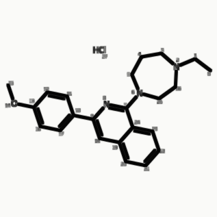 CCN1CCCN(c2nc(-c3ccc(OC)cc3)cc3ccccc23)CC1.Cl